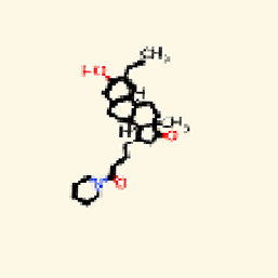 CCCc1cc2c(cc1O)CCC1[C@@H]2CCC2(C)C(=O)C[C@@H](CCCC(=O)N3CCCCC3)[C@@H]12